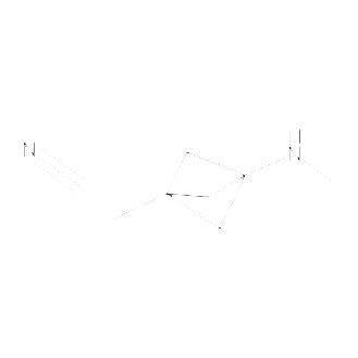 CNC12CC(CC#N)(C1)C2